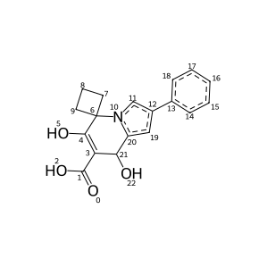 O=C(O)C1=C(O)C2(CCC2)n2cc(-c3ccccc3)cc2C1O